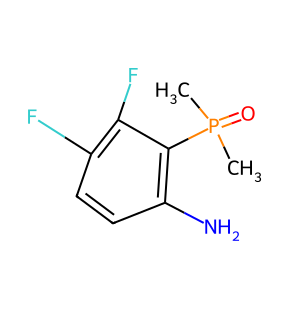 CP(C)(=O)c1c(N)ccc(F)c1F